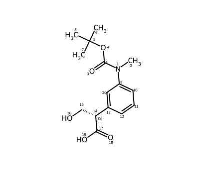 CN(C(=O)OC(C)(C)C)c1cccc([C@@H](CO)C(=O)O)c1